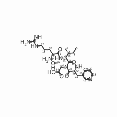 CC[C@H](C)[C@H](NC(=O)[C@H](N)CCCNC(=N)N)C(=O)N(C(=O)[C@@H](N)Cc1cccnc1)[C@@H](CO)C(=O)O